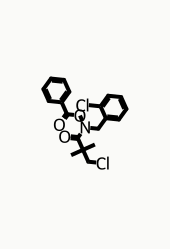 CC(C)(CCl)C(=O)N(Cc1ccccc1Cl)OC(=O)c1ccccc1